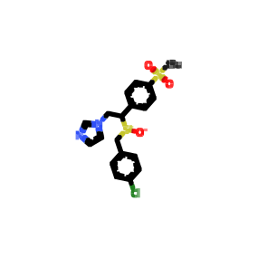 CC(C)(C)S(=O)(=O)c1ccc(C(Cn2ccnc2)[S+]([O-])Cc2ccc(Cl)cc2)cc1